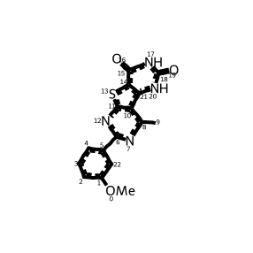 COc1cccc(-c2nc(C)c3c(n2)sc2c(=O)[nH]c(=O)[nH]c23)c1